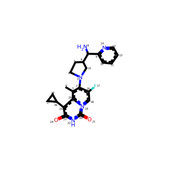 Cc1c(N2CCC(C(N)c3ccccn3)C2)c(F)cn2c(=O)[nH]c(=O)c(C3CC3)c12